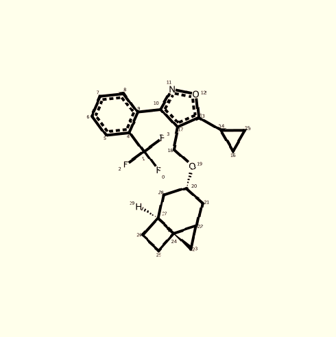 FC(F)(F)c1ccccc1-c1noc(C2CC2)c1CO[C@@H]1CC2C[C@]23CC[C@H]3C1